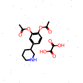 CC(=O)Oc1ccc(C2CCCNC2)cc1OC(C)=O.O=C(O)C(=O)O